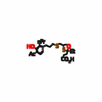 CCCc1c(CCCSCC2COC(CC)(CCC(=O)O)S2)ccc(C(C)=O)c1O